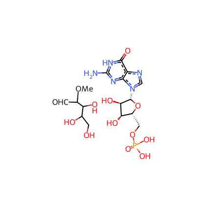 COC(C=O)C(O)C(O)CO.Nc1nc2c(ncn2[C@@H]2O[C@H](COP(=O)(O)O)[C@@H](O)[C@H]2O)c(=O)[nH]1